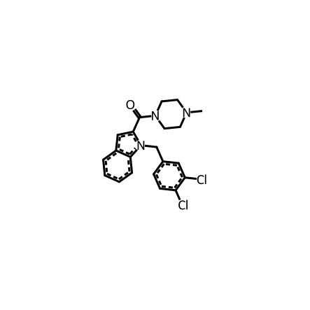 CN1CCN(C(=O)c2cc3ccccc3n2Cc2ccc(Cl)c(Cl)c2)CC1